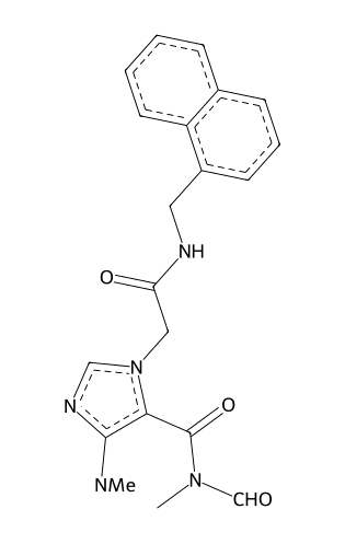 CNc1ncn(CC(=O)NCc2cccc3ccccc23)c1C(=O)N(C)C=O